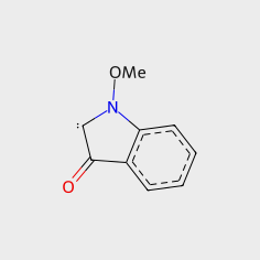 CON1[C]C(=O)c2ccccc21